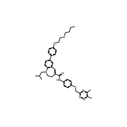 CCCCOCCOc1ccc(-c2ccc3c(c2)C=C(C(=O)Nc2ccc(SCc4nnc(C)c(C)n4)cc2)CCN3CC(C)C)cc1